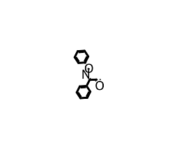 O=[C]C(=NOc1ccccc1)c1ccccc1